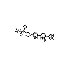 Cc1ncc(-c2ccc(-c3ccc(N4CCC(N(C(=O)OC(C)(C)C)C5CCC5)C4)nn3)nc2F)s1